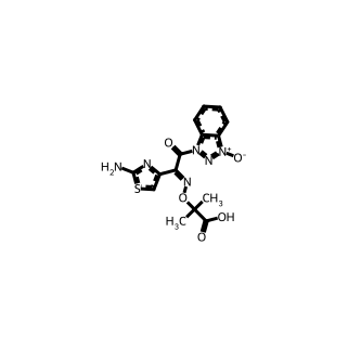 CC(C)(ON=C(C(=O)n1n[n+]([O-])c2ccccc21)c1csc(N)n1)C(=O)O